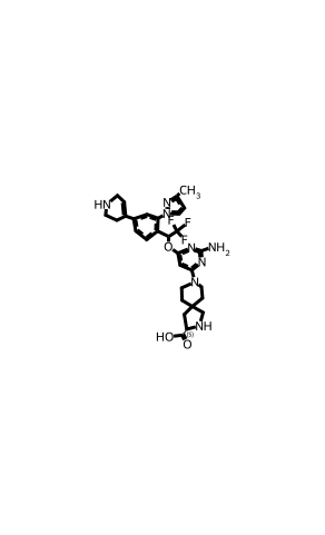 Cc1ccn(-c2cc(C3=CCNCC3)ccc2C(Oc2cc(N3CCC4(CC3)CN[C@H](C(=O)O)C4)nc(N)n2)C(F)(F)F)n1